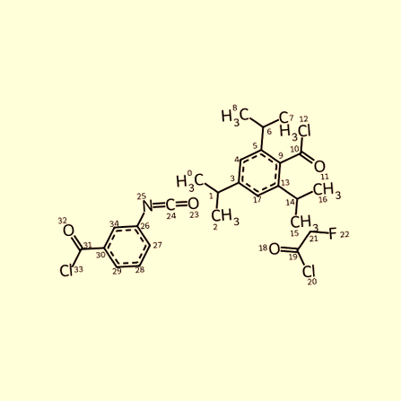 CC(C)c1cc(C(C)C)c(C(=O)Cl)c(C(C)C)c1.O=C(Cl)CF.O=C=Nc1cccc(C(=O)Cl)c1